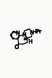 CC(C)N1CCN2c3ncccc3C(=O)CC[C@@H]2C1